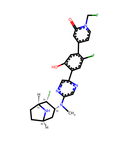 CN(c1cnc(-c2cc(F)c(-c3ccn(CF)c(=O)c3)cc2O)cn1)[C@@H]1C[C@H]2CC[C@H](N2)[C@@H]1F